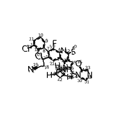 CSc1nc2c(F)c(-c3cccc(Cl)c3Cl)c(CCC#N)cc2c2c1cc([C@@H](C)n1ccncc1=O)n2[C@H]1[C@H]2CN[C@@H]1C2